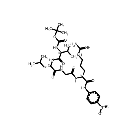 CC(C)C[C@H](NC(=O)[C@@H](NC(=O)OC(C)(C)C)C(C)C)C(=O)NCC(=O)N[C@@H](CCCNC(=N)N)C(=O)Nc1ccc([N+](=O)[O-])cc1